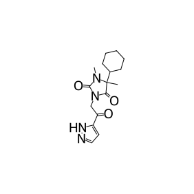 CN1C(=O)N(CC(=O)c2ccn[nH]2)C(=O)C1(C)C1CCCCC1